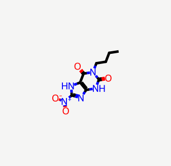 CCCCn1c(=O)[nH]c2nc([N+](=O)[O-])[nH]c2c1=O